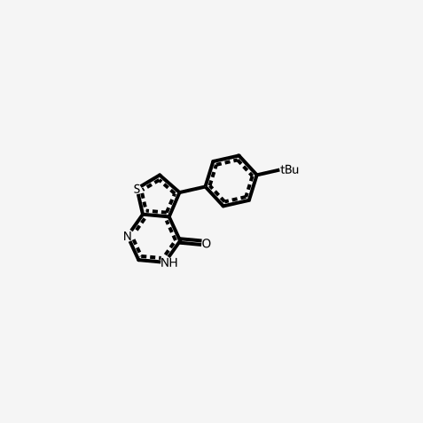 CC(C)(C)c1ccc(-c2csc3nc[nH]c(=O)c23)cc1